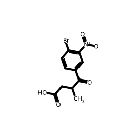 CC(CC(=O)O)C(=O)c1ccc(Br)c([N+](=O)[O-])c1